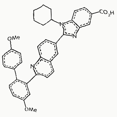 COc1ccc(-c2ccc(OC)cc2-c2ccc3cc(-c4nc5cc(C(=O)O)ccc5n4C4CCCCC4)ccc3n2)cc1